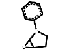 c1ccc(P2CCC3OC32)cc1